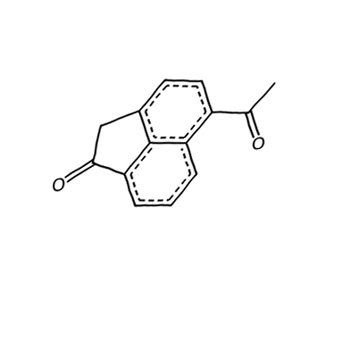 CC(=O)c1ccc2c3c(cccc13)C(=O)C2